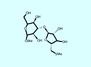 COC1OC(CO)[C@@H](O)[C@H](O[C@@H]2O[C@@H](CSC)C(O)[C@H]2O)[C@H]1O